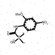 COc1cc([N+](=O)[O-])ccc1NC(=O)S(C)(C)N=O